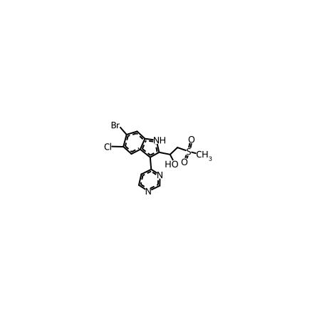 CS(=O)(=O)CC(O)c1[nH]c2cc(Br)c(Cl)cc2c1-c1ccncn1